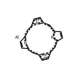 C1=Cc2cc3ccc(cc4nc(cc5ccc(cc1n2)[nH]5)C=C4)[nH]3.[Al]